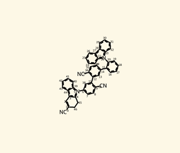 N#CC1=Cc2c(n(-c3ccc(C#N)c(-c4cc(-c5ccccc5-n5c6ccccc6c6ccccc65)ccc4C#N)c3)c3ccccc23)CC1